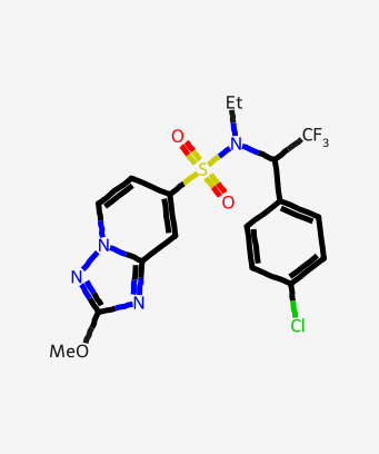 CCN(C(c1ccc(Cl)cc1)C(F)(F)F)S(=O)(=O)c1ccn2nc(OC)nc2c1